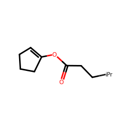 CC(C)CCC(=O)OC1=CCCC1